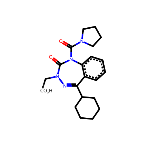 O=C(O)CN1N=C(C2CCCCC2)c2ccccc2N(C(=O)N2CCCC2)C1=O